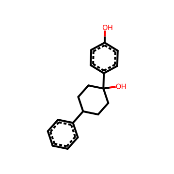 Oc1ccc(C2(O)CCC(c3ccccc3)CC2)cc1